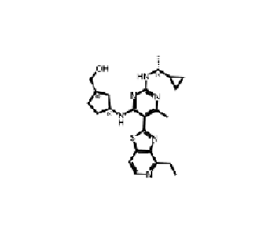 CCc1nccc2sc(-c3c(C)nc(N[C@H](C)C4CC4)nc3N[C@H]3CC[C@@H](CO)C3)nc12